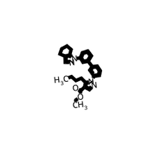 CCCCc1c(C(=O)OCC)cnn1-c1cccc(-c2cccc(-n3ncc4c3CCCC4)c2)c1